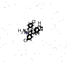 C=C(C(Nc1ccc2[nH]cnc2c1)c1ccc(Cl)cc1)N(Cc1ccc(Cl)cc1)/N=N\N